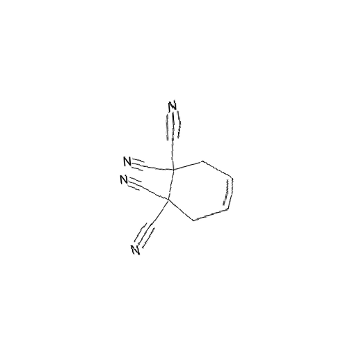 N#CC1(C#N)CC=CCC1(C#N)C#N